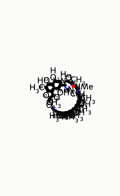 CNCN(C)/N=C/c1c2c(O)c3c(O)c(C)c4c(c3c1O)C(=O)[C@@](C)(O/C=C/[C@H](OC)[C@@H](C)[C@@H](C)[C@H](C)[C@H](O)[C@H](C)[C@@H](O)[C@@H](C)/C=C/C=C(/C)C(=O)N2)O4